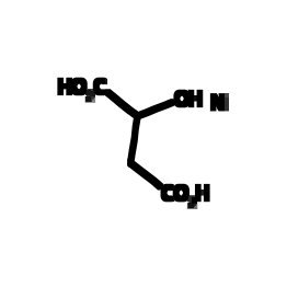 O=C(O)CC(O)C(=O)O.[Ni]